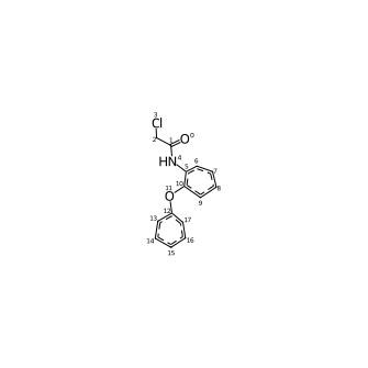 O=C(CCl)Nc1ccccc1Oc1ccccc1